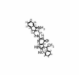 C=C(c1ccccc1C#N)c1n[nH]c2nc(N3CCC4(CC3)Cc3ccccc3[C@H]4N)[nH]c(=O)c12